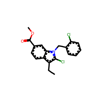 CCc1c(Cl)n(Cc2ccccc2Cl)c2cc(C(=O)OC)ccc12